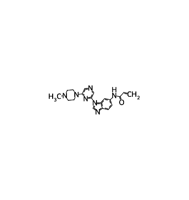 C=CC(=O)Nc1ccc2ncn(-c3cncc(N4CCN(C)CC4)n3)c2c1